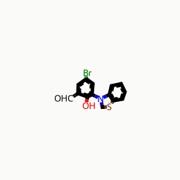 O=Cc1cc(Br)cc(N2CSc3ccccc32)c1O